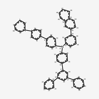 c1ccc(-c2ccc(-c3ccc(N(c4ccc(-c5cc(-c6ccccc6)cc(-c6ccccc6)c5)cc4)c4cccc(-c5ccc6ccccc6c5)c4)cc3)cc2)cc1